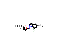 O=C(O)c1ccc(Cn2ccc3cc(C(F)(F)F)cc(Br)c32)o1